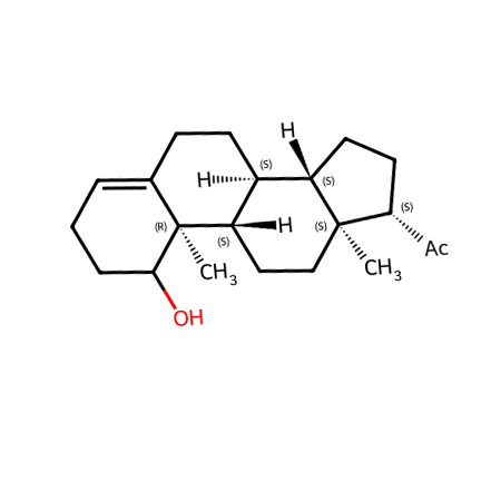 CC(=O)[C@H]1CC[C@H]2[C@@H]3CCC4=CCCC(O)[C@]4(C)[C@H]3CC[C@]12C